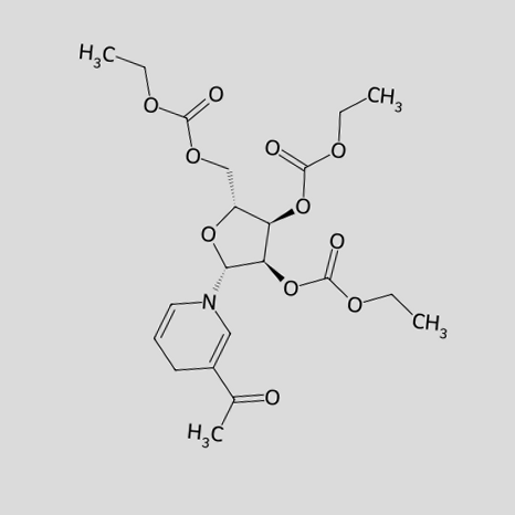 CCOC(=O)OC[C@H]1O[C@@H](N2C=CCC(C(C)=O)=C2)[C@H](OC(=O)OCC)[C@@H]1OC(=O)OCC